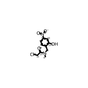 CN(Cc1ccc([N+](=O)[O-])cc1O)C(=O)CCl